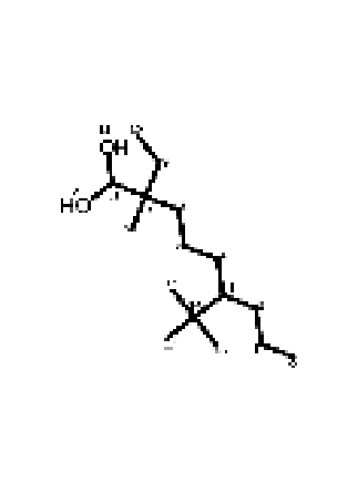 CCCC(CCCC(C)(CC)C(O)O)C(C)(C)C